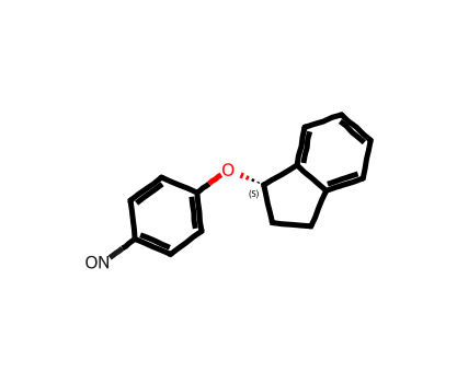 O=Nc1ccc(O[C@H]2CCc3ccccc32)cc1